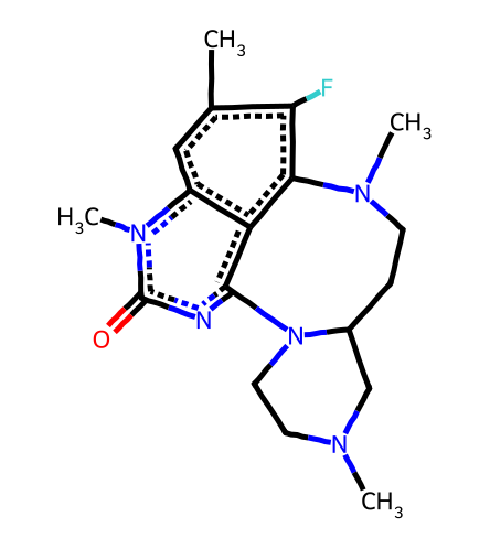 Cc1cc2c3c(nc(=O)n2C)N2CCN(C)CC2CCN(C)c3c1F